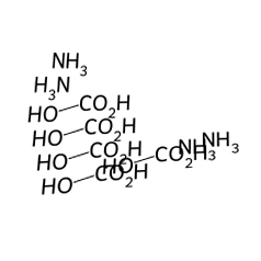 N.N.N.N.O=C(O)O.O=C(O)O.O=C(O)O.O=C(O)O.O=C(O)O